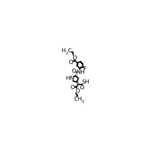 C=CCOC(=O)c1ccc(F)c(NC(=O)[C@@H]2C[C@@H](C(C(=O)S)C(=O)OCC=C)CN2)c1